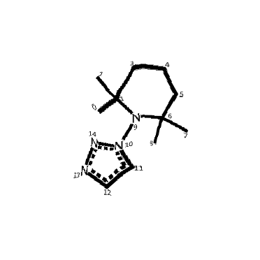 CC1(C)CCCC(C)(C)N1n1ccnn1